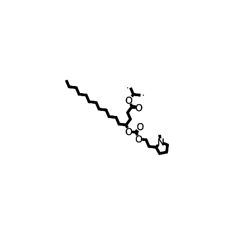 [CH2]C([CH2])OC(=O)CCC(CCCCCCCCCCCC)OC(=O)OCCC1CCCN1C